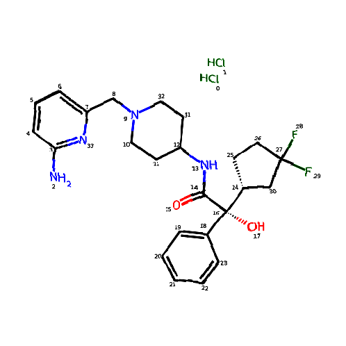 Cl.Cl.Nc1cccc(CN2CCC(NC(=O)[C@](O)(c3ccccc3)[C@@H]3CCC(F)(F)C3)CC2)n1